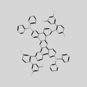 Fc1cc(F)cc(-c2ccc(F)cc2-c2ccc3c(c2)c2cc4c5ccc(N(c6ccccc6)c6ccccc6)cc5c5ccc(-c6cc(F)ccc6-c6cc(F)cc(F)c6)cc5c4cc2c2ccc(N(c4ccccc4)c4ccccc4)cc32)c1